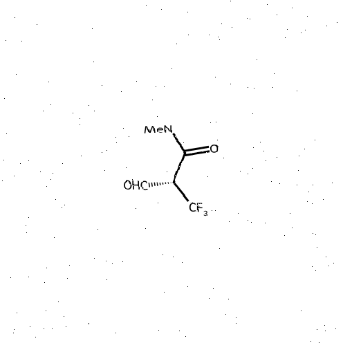 CNC(=O)[C@@H](C=O)C(F)(F)F